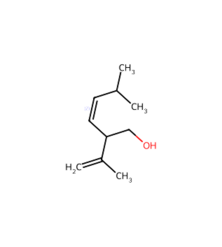 C=C(C)C(/C=C\C(C)C)CO